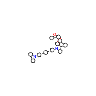 c1ccc(N(c2ccc(-c3ccc(-c4ccc(-n5c6ccccc6c6ccccc65)cc4)cc3)cc2)c2ccc(-c3cccc4oc5ccccc5c34)cc2)c(-c2cc3ccccc3c3ccccc23)c1